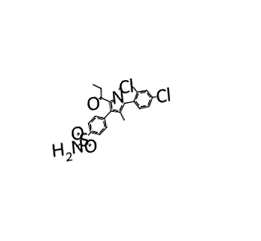 CCC(=O)c1c(-c2ccc(S(N)(=O)=O)cc2)c(C)c(-c2ccc(Cl)cc2Cl)n1C